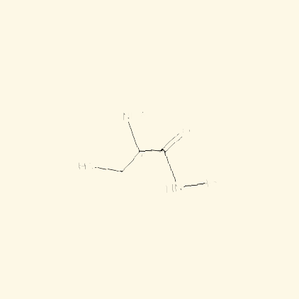 CCNC(=O)C(CS)NC(C)=O